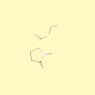 CCOC(=O)[C@H]1CCC(=O)N1C